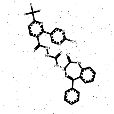 Cc1ncc(-c2nc(C(F)(F)F)ccc2C(=O)NNC(=O)N[C@H]2N=C(c3ccccc3)c3ccccc3NC2=O)cn1